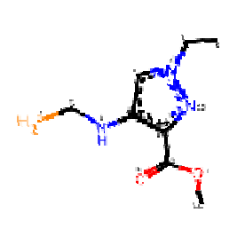 CCn1cc(NCP)c(C(=O)OC)n1